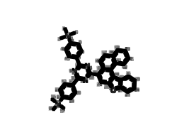 C[Si](C)(C)c1ccc(-c2nc(-c3ccc([Si](C)(C)C)cc3)nc(-c3cc4oc5ccccc5c4c4c3ccc3ccccc34)n2)cc1